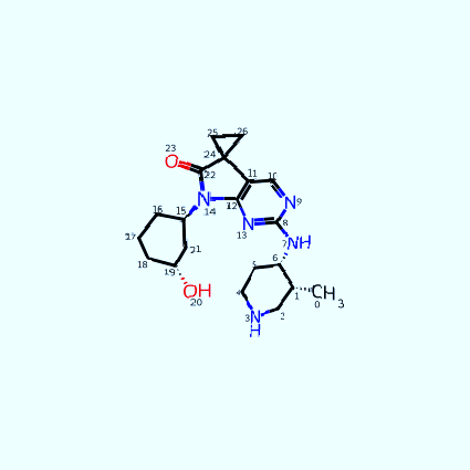 C[C@@H]1CNCC[C@@H]1Nc1ncc2c(n1)N([C@@H]1CCC[C@@H](O)C1)C(=O)C21CC1